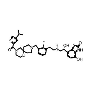 CC(C)c1csc(C(=O)N2CCOC3(CCN(Cc4cccc(CCNC[C@H](O)c5ccc(O)c6[nH]c(=O)sc56)c4F)CC3)C2)c1